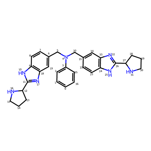 c1ccc(N(Cc2ccc3[nH]c(C4CCCN4)nc3c2)Cc2ccc3[nH]c(C4CCCN4)nc3c2)cc1